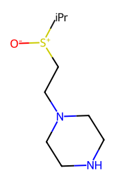 CC(C)[S+]([O-])CCN1CCNCC1